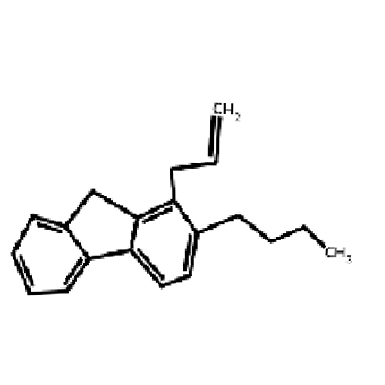 C=CCc1c(CCCC)ccc2c1Cc1ccccc1-2